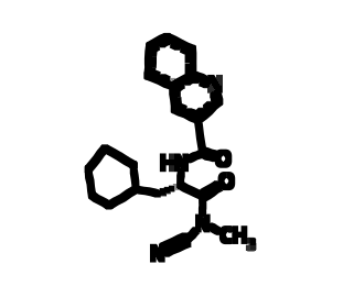 CN(C#N)C(=O)[C@H](CC1CCCCC1)NC(=O)c1cnc2ccccc2c1